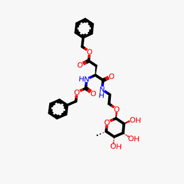 C[C@@H]1O[C@@H](OCCNC(=O)[C@H](CC(=O)OCc2ccccc2)NC(=O)OCc2ccccc2)[C@@H](O)[C@H](O)[C@@H]1O